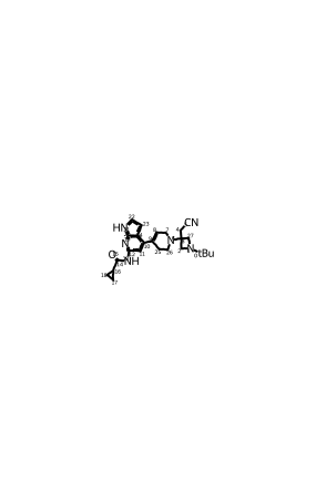 CC(C)(C)N1CC(CC#N)(N2CC=C(c3cc(NC(=O)C4CC4)nc4[nH]ccc34)CC2)C1